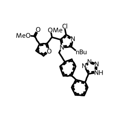 CCCCc1nc(Cl)c(C(OC)c2occc2C(=O)OC)n1Cc1ccc(-c2ccccc2-c2nnn[nH]2)cc1